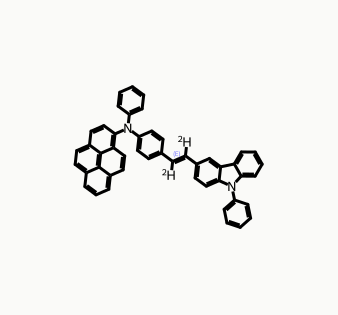 [2H]/C(=C(/[2H])c1ccc2c(c1)c1ccccc1n2-c1ccccc1)c1ccc(N(c2ccccc2)c2ccc3ccc4cccc5ccc2c3c45)cc1